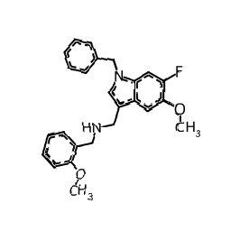 COc1cc2c(CNCc3ccccc3OC)cn(Cc3ccccc3)c2cc1F